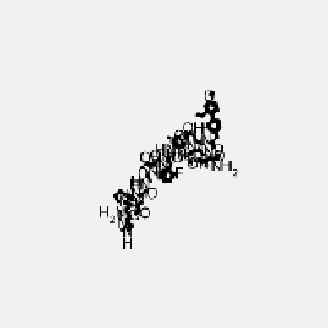 CCc1cc(OC)ccc1-c1ccc(C[C@H](NC(=O)[C@H](CC(=O)O)NC(=O)[C@H](CO)NC(=O)[C@@H](NC(=O)[C@](C)(Cc2ccccc2F)NC(=O)[C@@H](NC(=O)CNC(=O)[C@H](CCC(=O)O)NC(=O)[C@]2(C)CCCN2C(=O)[C@@H](N)Cc2c[nH]cn2)[C@@H](C)O)[C@@H](C)O)C(=O)N[C@H](C(N)=O)[C@@H](C)CC)cc1